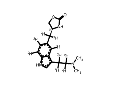 [2H]c1c(C([2H])([2H])[C@H]2COC(=O)N2)c([2H])c2c(C([2H])([2H])C([2H])([2H])N(C)C)c[nH]c2c1[2H]